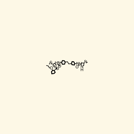 CCCOc1ccccc1C(=O)N1C[C@@H](N(C)C)C[C@H]1C(=O)Nc1ccc(CCc2ccc(NC(=O)[C@@H]3C[C@H](N(C)C)CN3)cc2)cc1